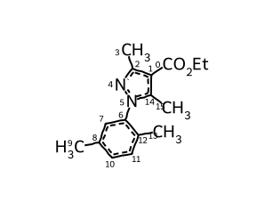 CCOC(=O)c1c(C)nn(-c2cc(C)ccc2C)c1C